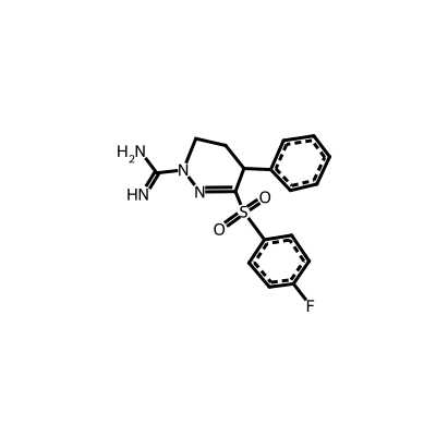 N=C(N)N1CCC(c2ccccc2)C(S(=O)(=O)c2ccc(F)cc2)=N1